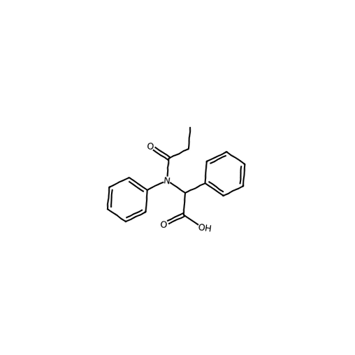 CCC(=O)N(c1ccccc1)C(C(=O)O)c1ccccc1